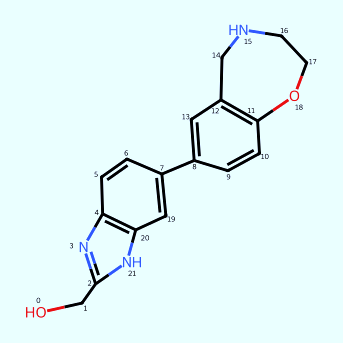 OCc1nc2ccc(-c3ccc4c(c3)CNCCO4)cc2[nH]1